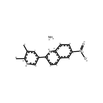 Cc1cc(-c2ccc3cc([N+](=O)[O-])ccc3n2)cnc1C.N